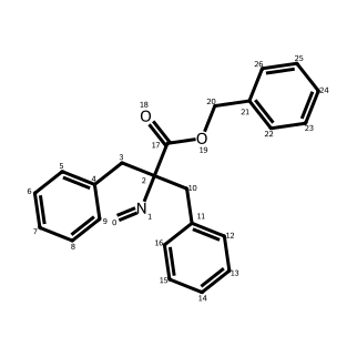 C=NC(Cc1ccccc1)(Cc1ccccc1)C(=O)OCc1ccccc1